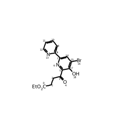 CCOC(=O)CCC(=O)c1nc(-c2ccccn2)cc(Br)c1O